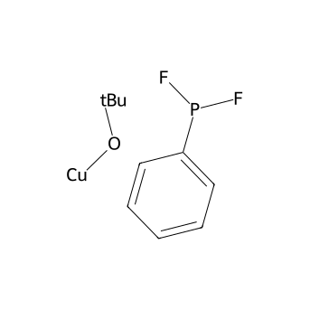 CC(C)(C)[O][Cu].FP(F)c1ccccc1